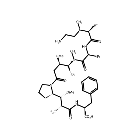 CC[C@H](C)[C@@H]([C@@H](CC(=O)N1CCC[C@H]1[C@H](OC)[C@@H](C)C(=O)N[C@@H](Cc1ccccc1)C(=O)O)OC)N(C)C(=O)C(NC(=O)[C@H](C(C)C)N(C)CCN)C(C)C